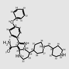 NC(=O)c1c(-c2ccc(Oc3ccccc3)cc2)nn2c1NCCC2C1CCN(CC2CCNCC2)CC1